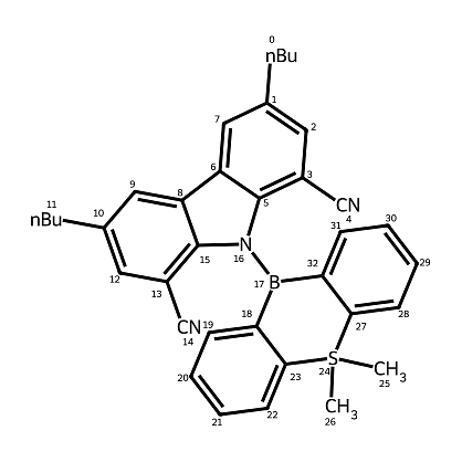 CCCCc1cc(C#N)c2c(c1)c1cc(CCCC)cc(C#N)c1n2B1c2ccccc2S(C)(C)c2ccccc21